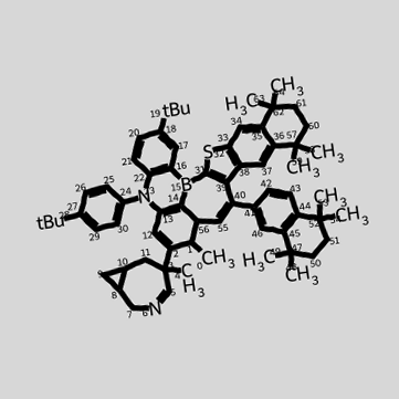 CC1C(C2(C)C=NCC3CC3C2)=CC2=C3B(c4cc(C(C)(C)C)ccc4N2c2ccc(C(C)(C)C)cc2)c2sc4cc5c(cc4c2C(c2ccc4c(c2)C(C)(C)CCC4(C)C)=CC31)C(C)(C)CCC5(C)C